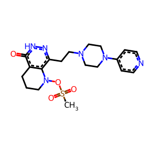 CS(=O)(=O)ON1CCCc2c1c(CCN1CCN(c3ccncc3)CC1)n[nH]c2=O